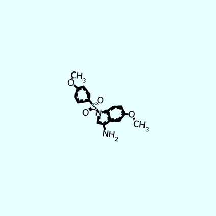 COc1ccc(S(=O)(=O)n2cc(N)c3cc(OC)ccc32)cc1